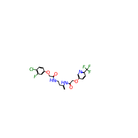 C=C(CCNC(=O)COc1ccc(Cl)c(F)c1)NC(=O)COc1ccc(C(F)(F)F)nc1